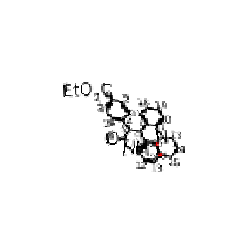 CCOC(=O)c1ccc(C(C(N)=O)C(c2ccccc2)c2ccccc2N2CCCCC2)cc1